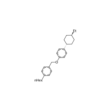 CCCCCCc1ccc(COc2ccc([C@H]3CC[C@H](CC)CC3)cc2)cc1